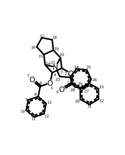 O=C(OC1C(OC(=O)c2ccccc2)C2C3CCCC3C1N2Cc1ccccc1)c1ccccc1